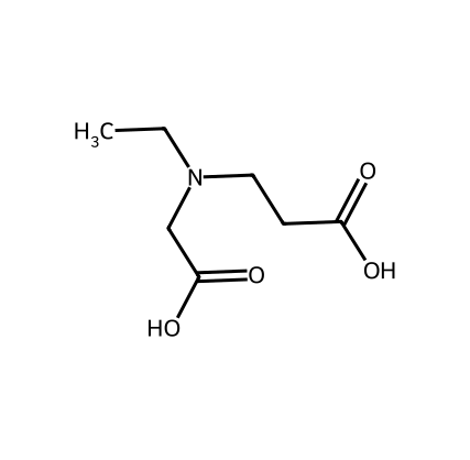 CCN(CCC(=O)O)CC(=O)O